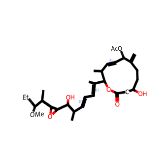 C=C1CCC(O)CC(=O)OC(/C(C)=C/C=C/C(C)C(O)C2OC2C(C)C(CC)OC)C(C)/C=C/C1OC(C)=O